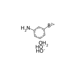 O.[B+2]c1cccc(N)c1.[OH-].[OH-]